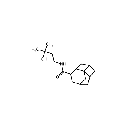 CC(C)(C)CCNC(=O)C12CC3CC4CC(C1)C4(C3)C2